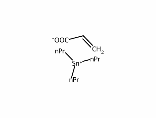 C=CC(=O)[O-].CC[CH2][Sn+]([CH2]CC)[CH2]CC